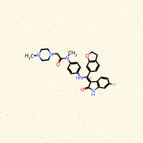 CN1CCN(CC(=O)N(C)c2ccc(N/C(=C3\C(=O)Nc4cc(F)ccc43)c3ccc4c(c3)OCC4)cc2)CC1